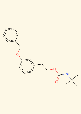 CC(C)(C)NC(=O)OCCc1cccc(OCc2ccccc2)c1